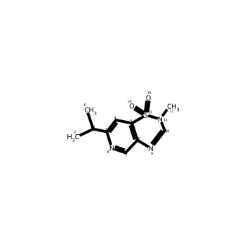 CC(C)c1cc2c(cn1)N=CN(C)S2(=O)=O